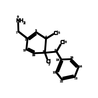 NCC1=CC(Cl)C(Cl)(C(Cl)c2ccccc2)C=C1